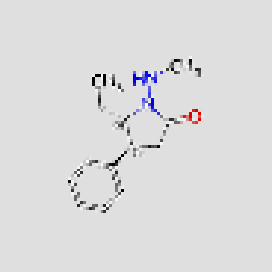 CC[C@H]1[C@H](c2ccccc2)CC(=O)N1NC